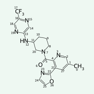 Cc1cnc(C(=O)N2CCCC(Nc3cnc(C(F)(F)F)cn3)C2)c(-c2ncco2)c1